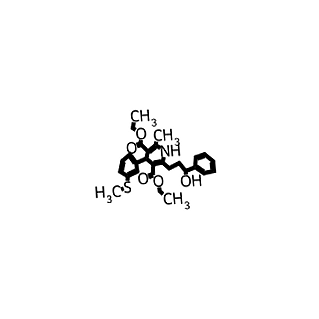 CCOC(=O)C1=C(C)NC(CCC(O)c2ccccc2)=C(C(=O)OCC)C1c1cccc(SC)c1